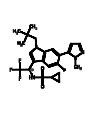 Cn1nccc1-c1cc2c(cc1F)c([C@H](NS(=O)(=O)C1CC1)C(F)(F)F)cn2CC(C)(C)C